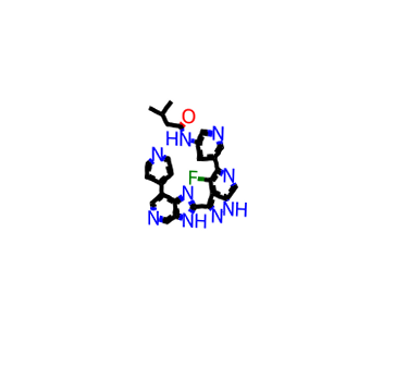 CC(C)CC(=O)Nc1cncc(-c2ncc3[nH]nc(-c4nc5c(-c6ccncc6)cncc5[nH]4)c3c2F)c1